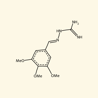 COc1cc(/C=N/NC(=N)N)cc(OC)c1OC